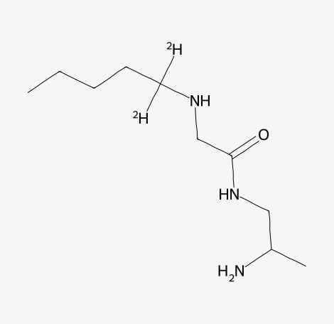 [2H]C([2H])(CCCC)NCC(=O)NCC(C)N